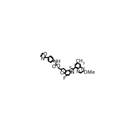 COc1cnc2c(-c3nc4cc(F)c5c(c4s3)CC(COC(=O)Nc3ccc(-c4ncco4)cc3)O5)cc(C)cc2n1